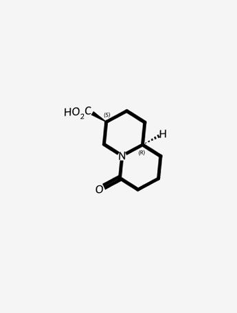 O=C(O)[C@H]1CC[C@H]2CCCC(=O)N2C1